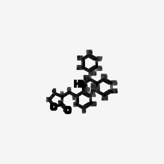 O=C1OCCC1Cc1ccccc1NC(c1ccccc1)c1ccccc1